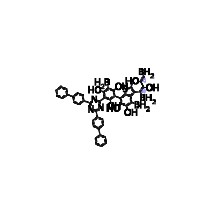 B/C=C(O)/C(O)=C(/B)c1c(C)sc2c(-c3c(O)c(B)c(O)c(-c4nc(-c5ccc(-c6ccccc6)cc5)nc(-c5ccc(-c6ccccc6)cc5)n4)c3O)c(O)c(O)c(B)c12